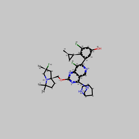 [2H]C1([2H])CC[C@@]2(COc3nc(N4CC5CCC4CN5)c4cnc(-c5cc(O)cc(F)c5[C@H]5C[C@H]5C)c(F)c4n3)C[C@@]([2H])(F)CN12